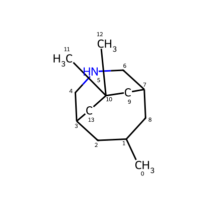 CC1CC2CNCC(C1)CC(C)(C)C2